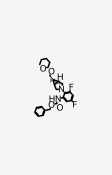 O=C(Nc1cc(F)cc(F)c1N1CC2[C@@H](COC3CCCCO3)[C@H]2C1)OCc1ccccc1